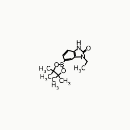 CCn1c(=O)[nH]c2ccc(B3OC(C)(C)C(C)(C)O3)cc21